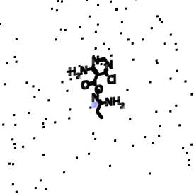 CC/C(N)=N/OC(=O)c1c(N)ncnc1Cl